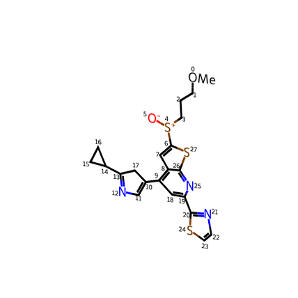 COCCC[S+]([O-])c1cc2c(C3=CN=C(C4CC4)C3)cc(-c3nccs3)nc2s1